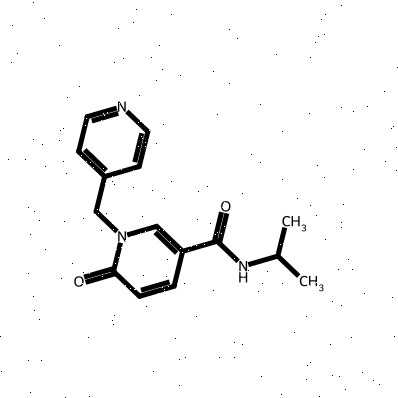 CC(C)NC(=O)c1ccc(=O)n(Cc2ccncc2)c1